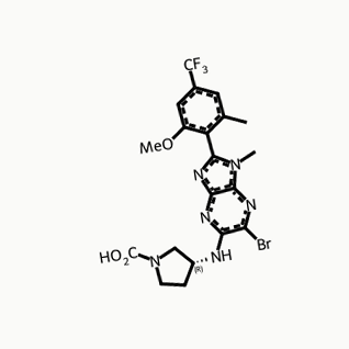 COc1cc(C(F)(F)F)cc(C)c1-c1nc2nc(N[C@@H]3CCN(C(=O)O)C3)c(Br)nc2n1C